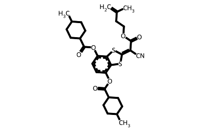 C=C(C)CCOC(=O)C(C#N)=C1Sc2c(OC(=O)C3CCC(C)CC3)ccc(OC(=O)C3CCC(C)CC3)c2S1